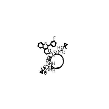 CC1(OC(=O)N[C@H]2CCCCC/C=C\[C@@H]3C[C@@]3(C(=O)NS(=O)(=O)C3(C)CC3)NC(=O)[C@@H]3C[C@]4(CCc5c(c(-c6cccc(F)c6)nc6ccccc56)O4)CN3C2=O)CC1